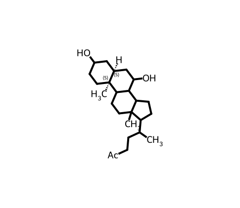 CC(=O)CCC(C)C1CCC2C3C(O)C[C@@H]4CC(O)CC[C@]4(C)C3CCC12C